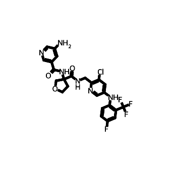 Nc1cncc(C(=O)NC2(C(=O)NCc3ncc(Nc4ccc(F)cc4C(F)(F)F)cc3Cl)CCOC2)c1